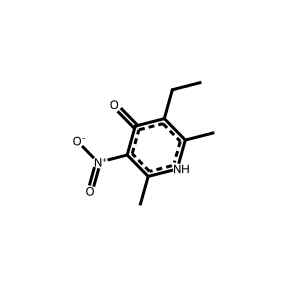 CCc1c(C)[nH]c(C)c([N+](=O)[O-])c1=O